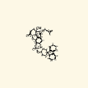 O=C1CCC2(O)C3N(CC4CC4)C34CC23c2c4ccc(OP(=O)(O)OC4CCC(c5ccccc5)(c5ccccc5)CC4)c2OC13